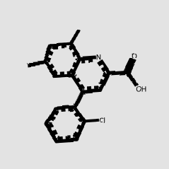 Cc1cc(C)c2nc(C(=O)O)cc(-c3ccccc3Cl)c2c1